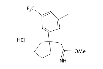 COC(=N)CC1(c2cc(C)cc(C(F)(F)F)c2)CCCC1.Cl